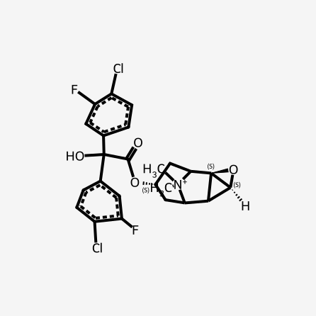 C[N+]1(C)C2C[C@H](OC(=O)C(O)(c3ccc(Cl)c(F)c3)c3ccc(Cl)c(F)c3)CC1[C@]13O[C@H]1C23